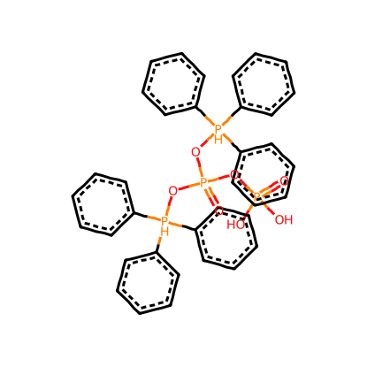 O=P(O)(O)OP(=O)(O[PH](c1ccccc1)(c1ccccc1)c1ccccc1)O[PH](c1ccccc1)(c1ccccc1)c1ccccc1